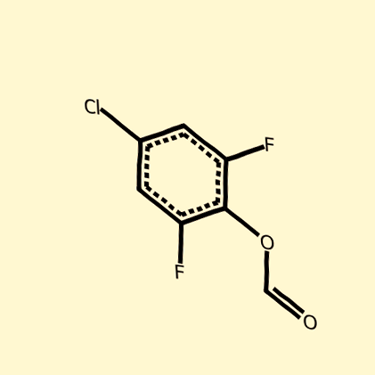 O=COc1c(F)cc(Cl)cc1F